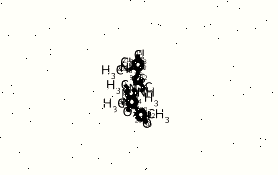 Cc1nc(N[C@H](C)c2ccc(-c3ccc(Cl)cc3CN(C)C)s2)c2cc(-c3ccc(=O)n(C)c3)c(=O)n(C)c2n1